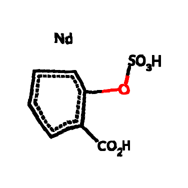 O=C(O)c1ccccc1OS(=O)(=O)O.[Nd]